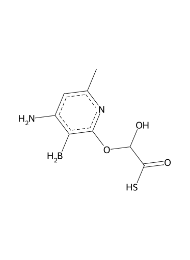 Bc1c(N)cc(C)nc1OC(O)C(=O)S